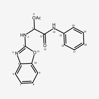 CC(=O)OC(Nc1nc2ccccc2o1)C(=O)Nc1ccccc1